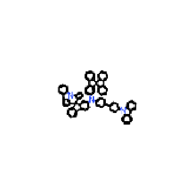 c1ccc2c(c1)-c1ccccc1C21c2ccccc2-c2ccc(N(c3ccc(-c4ccc(-n5c6ccccc6c6ccccc65)cc4)cc3)c3ccc4c(c3)C3(c5ccccc5-4)c4ccccc4-n4c5ccccc5c5cccc3c54)cc21